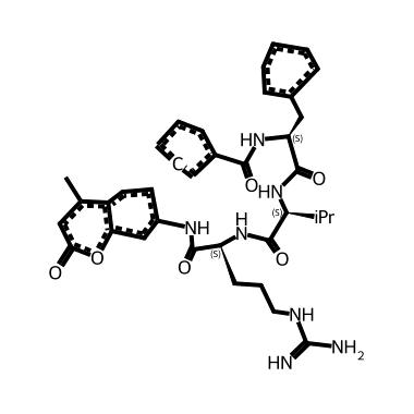 Cc1cc(=O)oc2cc(NC(=O)[C@H](CCCNC(=N)N)NC(=O)[C@@H](NC(=O)[C@H](Cc3ccccc3)NC(=O)c3ccccc3)C(C)C)ccc12